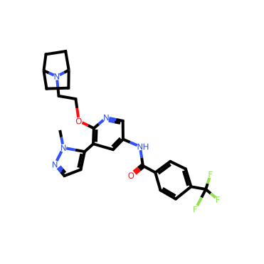 Cn1nccc1-c1cc(NC(=O)c2ccc(C(F)(F)F)cc2)cnc1OCCN1C2CCC1CC2